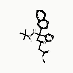 COC(=O)CC(=O)CC(N[S+]([O-])C(C)(C)C)(c1ccsc1)c1ccc2ccccc2c1